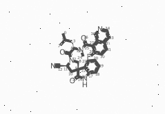 CC(C)C[C@@H](C(=O)N1C[C@]2(C[C@H]1C#N)C(=O)Nc1ccccc12)N(C)C(=O)c1c(F)ccc2ccncc12